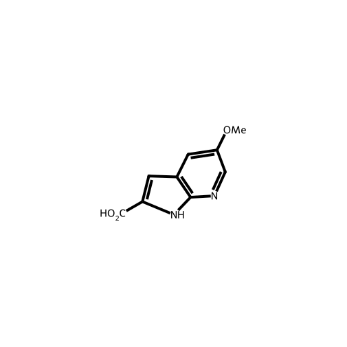 COc1cnc2[nH]c(C(=O)O)cc2c1